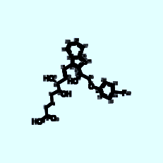 O=C(O)CCC[C@H](O)[C@H](O)/C=C/c1c([C@H](O)COc2ccc(F)cc2)sc2ccccc12